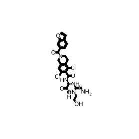 N/N=C(\NCCO)N[C@H](NC(=O)c1c(Cl)cc2c(c1Cl)CCN(C(=O)c1ccc3ccoc3c1)C2)C(=O)O